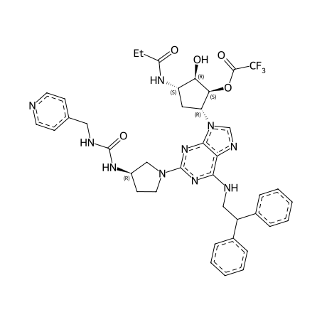 CCC(=O)N[C@H]1C[C@@H](n2cnc3c(NCC(c4ccccc4)c4ccccc4)nc(N4CC[C@@H](NC(=O)NCc5ccncc5)C4)nc32)[C@H](OC(=O)C(F)(F)F)[C@@H]1O